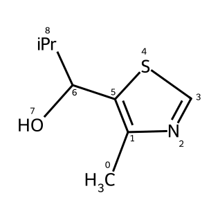 Cc1ncsc1C(O)C(C)C